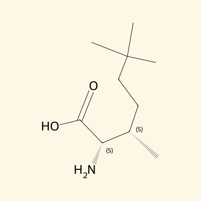 C[C@@H](CCC(C)(C)C)[C@H](N)C(=O)O